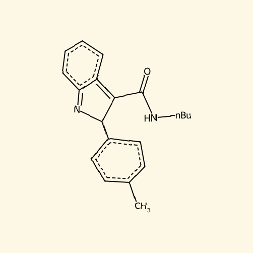 CCCCNC(=O)C1=c2ccccc2=NC1c1ccc(C)cc1